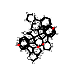 O=C1OC(c2ccccc2C2OCCO2)C2(c3ccccc3C3OCCO3)C3(c4ccccc4C4OCCO4)CCC(c4ccccc4C4OCCO4)(O3)C12c1ccccc1C1OCCO1